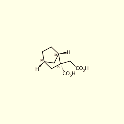 O=C(O)C[C@@]1(C(=O)O)C[C@@H]2CC[C@H]1C2